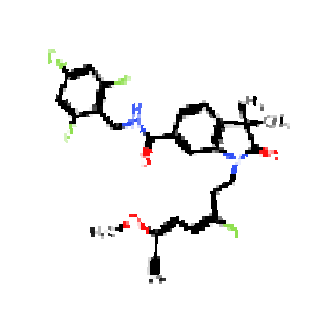 C#C/C(=C\C=C(\F)CCN1C(=O)C(C)(C)c2ccc(C(=O)NCc3c(F)cc(F)cc3F)cc21)OC